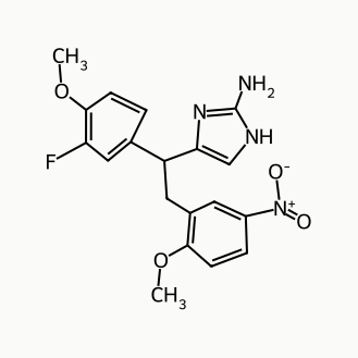 COc1ccc(C(Cc2cc([N+](=O)[O-])ccc2OC)c2c[nH]c(N)n2)cc1F